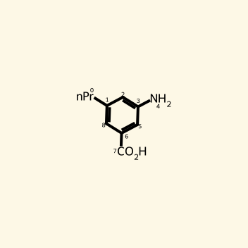 CCCc1cc(N)cc(C(=O)O)c1